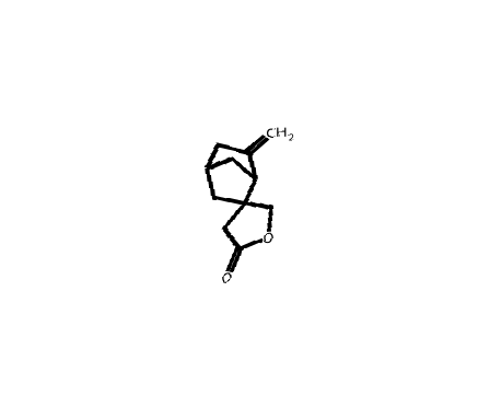 C=C1CC2CC1C1(COC(=O)C1)C2